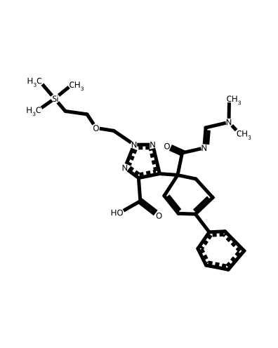 CN(C)/C=N/C(=O)C1(c2nn(COCC[Si](C)(C)C)nc2C(=O)O)C=CC(c2ccccc2)=CC1